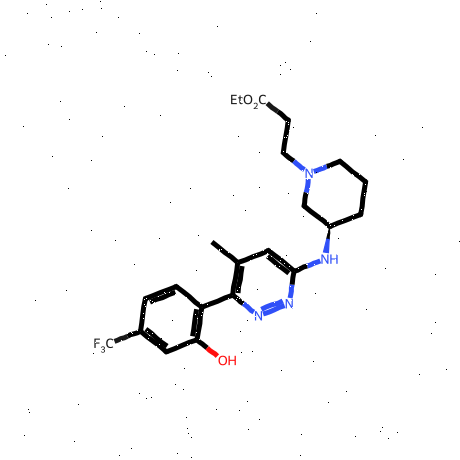 CCOC(=O)CCN1CCC[C@@H](Nc2cc(C)c(-c3ccc(C(F)(F)F)cc3O)nn2)C1